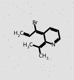 C=C/C(Br)=c1/cccnc1=C(C)C